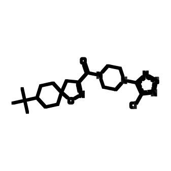 CC(C)(C)C1CCC2(CC1)CC(C(=O)N1CCN(c3nsnc3Cl)CC1)=NO2